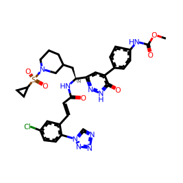 COC(=O)Nc1ccc(-c2cc([C@H](CC3CCCN(S(=O)(=O)C4CC4)C3)NC(=O)C=Cc3cc(Cl)ccc3-n3cnnn3)n[nH]c2=O)cc1